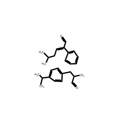 CC(C)C/C=C(/C=O)c1ccccc1.CC(C=O)Cc1ccc(C(C)C)cc1